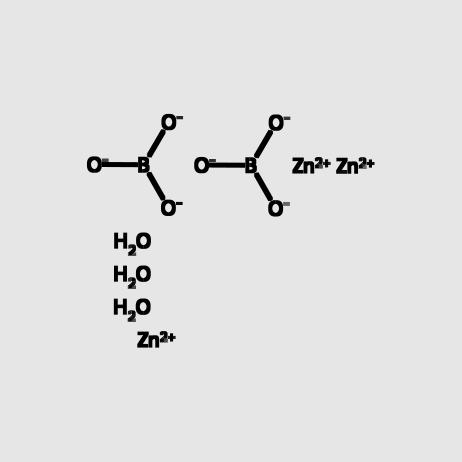 O.O.O.[O-]B([O-])[O-].[O-]B([O-])[O-].[Zn+2].[Zn+2].[Zn+2]